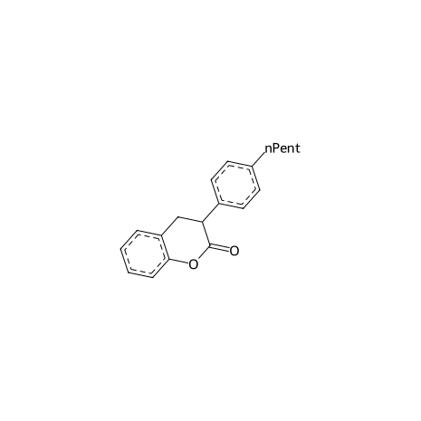 CCCCCc1ccc(C2Cc3ccccc3OC2=O)cc1